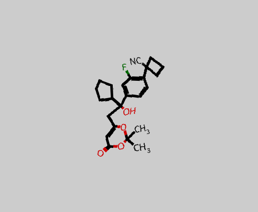 CC1(C)OC(=O)C=C(CC(O)(c2ccc(C3(C#N)CCC3)c(F)c2)C2CCCC2)O1